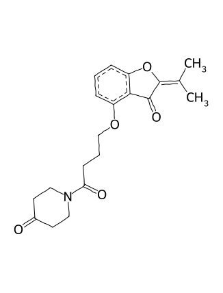 CC(C)=C1Oc2cccc(OCCCC(=O)N3CCC(=O)CC3)c2C1=O